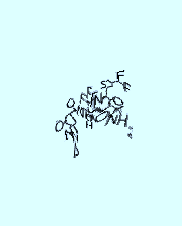 COc1cc(C(=O)NCC(O)(c2cc3c(c(-c4cc(C(F)F)cs4)n2)OC[C@]3(C)C(N)=O)C(F)(F)F)cc2cn(C3CC3)nc12